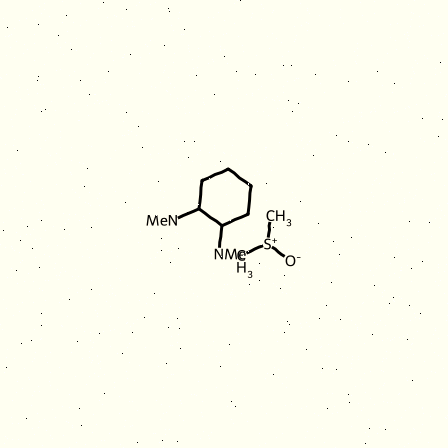 CNC1CCCCC1NC.C[S+](C)[O-]